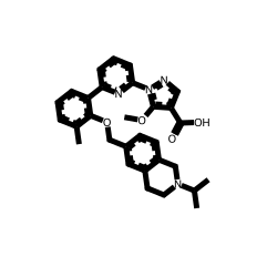 COc1c(C(=O)O)cnn1-c1cccc(-c2cccc(C)c2OCc2ccc3c(c2)CCN(C(C)C)C3)n1